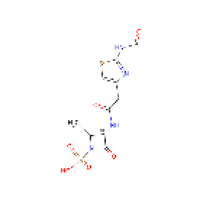 CC1[C@H](NC(=O)Cc2csc(NC=O)n2)C(=O)N1S(=O)(=O)O